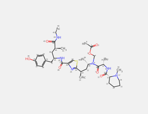 CCCC(=O)OCN(C(=O)[C@@H](NC(=O)[C@H]1CCCCN1C)C(C)CC)[C@H](C[C@@H](OC(C)=O)c1nc(C(=O)N[C@@H](Cc2ccc(O)cc2)C[C@H](C)C(=O)NCC(C)=O)cs1)C(C)C